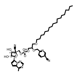 CCCCCCCCCCCCCCCCCCOCC(COP(=O)(O)OC[C@@]1(C#N)O[C@@H](c2ccc3c(C)ncnn23)[C@H](O)[C@@H]1O)OCc1ccc(C#N)cn1